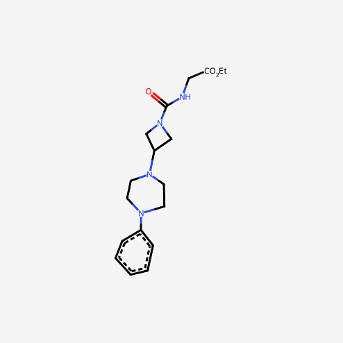 CCOC(=O)CNC(=O)N1CC(N2CCN(c3ccccc3)CC2)C1